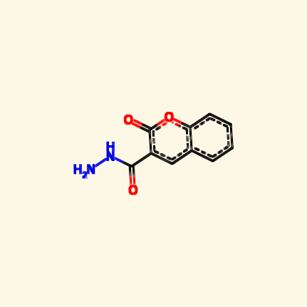 NNC(=O)c1cc2ccccc2oc1=O